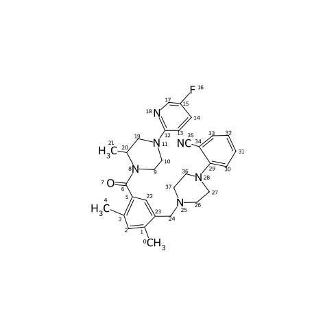 Cc1cc(C)c(C(=O)N2CCN(c3ccc(F)cn3)CC2C)cc1CN1CCN(c2ccccc2C#N)CC1